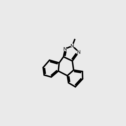 Cn1nc2c3ccccc3c3ccccc3c2n1